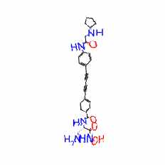 NC[C@H](NC(=O)c1ccc(C#CC#Cc2ccc(NC(=O)CNC3CCCC3)cc2)cc1)C(=O)NO